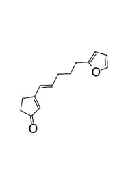 O=C1C=C(/C=C/CCCc2ccco2)CC1